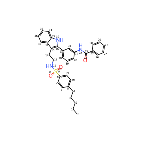 CCCCCc1ccc(S(=O)(=O)NCCc2c(-c3cccc(NC(=O)c4ccccc4)c3)[nH]c3ccccc23)cc1